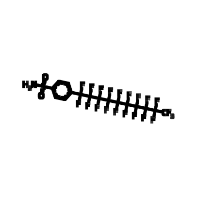 NS(=O)(=O)c1ccc(C(F)(F)C(F)(F)C(F)(F)C(F)(F)C(F)(F)C(F)(F)C(F)(F)C(F)(F)C(F)(F)C(F)(F)F)cc1